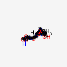 CCc1cccc2cc(O)cc(-c3ncc4c(N5CC6CCC(C5)N6C(=O)OC(C)(C)C)nc(OCC5(CN6CCC7(CC6)CC(OC6CCN(c8ccc9c(c8)CN(C8CCC(=O)NC8=O)C9=O)CC6)C7)CC5)nc4c3F)c12